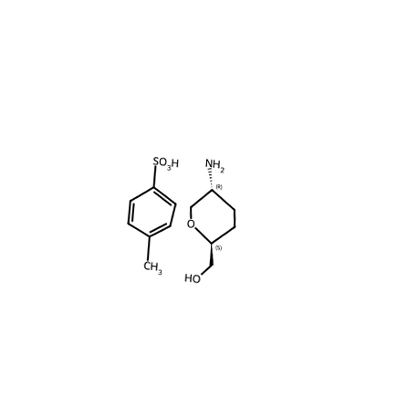 Cc1ccc(S(=O)(=O)O)cc1.N[C@@H]1CC[C@@H](CO)OC1